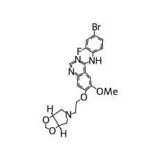 COc1cc2c(Nc3ccc(Br)cc3F)ncnc2cc1OCCN1C[C@@H]2OCO[C@@H]2C1